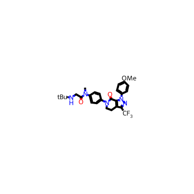 COc1ccc(-n2nc(C(F)(F)F)c3c2C(=O)N(c2ccc(N(C)C(=O)CNC(C)(C)C)cc2)CC3)cc1